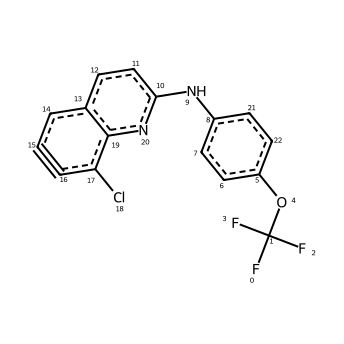 FC(F)(F)Oc1ccc(Nc2ccc3cc#cc(Cl)c3n2)cc1